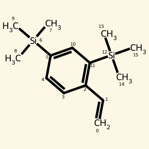 C=Cc1ccc([Si](C)(C)C)cc1[Si](C)(C)C